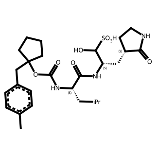 Cc1ccc(CC2(OC(=O)N[C@@H](CC(C)C)C(=O)N[C@@H](C[C@@H]3CCNC3=O)C(O)S(=O)(=O)O)CCCC2)cc1